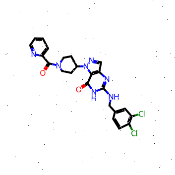 O=C(c1ccccn1)N1CCC(n2ncc3nc(NCc4ccc(Cl)c(Cl)c4)[nH]c(=O)c32)CC1